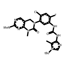 CNc1ncc2c(n1)N(C)C(=O)N(c1cc(NC(=O)Nc3ncn(C(C)(C)C)c3C)c(F)cc1Cl)C2